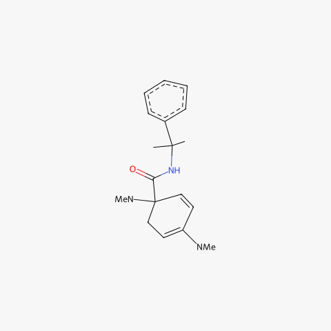 CNC1=CCC(NC)(C(=O)NC(C)(C)c2ccccc2)C=C1